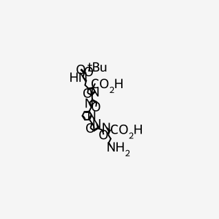 CC(C)(C)OC(=O)NCCc1oc(-c2coc(-c3cccc(-c4nc(-c5nc(C(=O)O)c(CCN)o5)co4)n3)n2)nc1C(=O)O